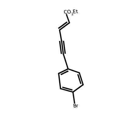 CCOC(=O)C=CC#Cc1ccc(Br)cc1